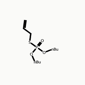 C=CCSP(=O)(OCCCC)OCCCC